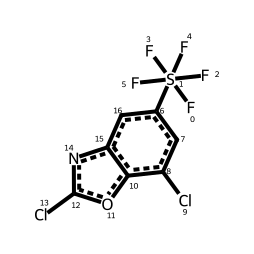 FS(F)(F)(F)(F)c1cc(Cl)c2oc(Cl)nc2c1